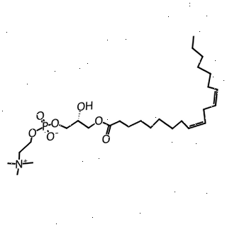 CCCCCC/C=C\C/C=C\CCCCCCCC(=O)OC[C@@H](O)COP(=O)([O-])OCC[N+](C)(C)C